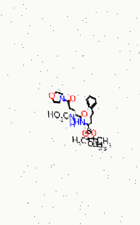 CC1(C)OB([C@H](CCCc2ccccc2)NC(=O)[C@@H](CCC(=O)N2CCOCC2)NC(=O)O)OC1(C)C